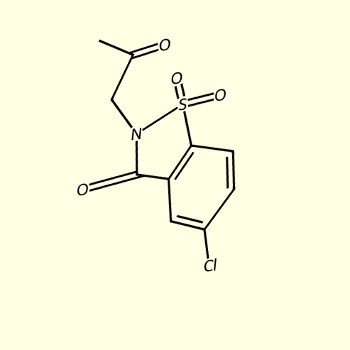 CC(=O)CN1C(=O)c2cc(Cl)ccc2S1(=O)=O